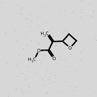 C=C(C(=O)OC)C1CCO1